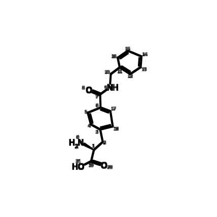 N[C@@H](Cc1ccc(C(=O)NCc2ccccc2)cc1)C(=O)O